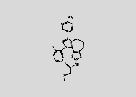 COCC(=O)Nc1nc2c(s1)-c1c(c(-c3ccc(N)nc3)nn1-c1ccccc1C)CCC2